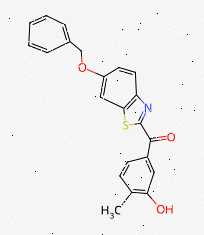 Cc1ccc(C(=O)c2nc3ccc(OCc4ccccc4)cc3s2)cc1O